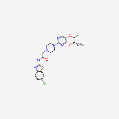 COC(=O)C(C)Oc1cnc(N2CCN(CC(=O)Nc3nc4ccc(Br)cc4s3)CC2)nc1